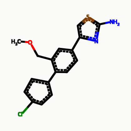 COCc1cc(-c2csc(N)n2)ccc1-c1ccc(Cl)cc1